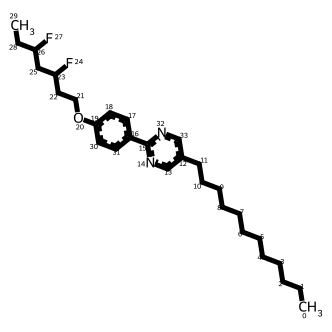 CCCCCCCCCCCCc1cnc(-c2ccc(OCCC(F)CC(F)CC)cc2)nc1